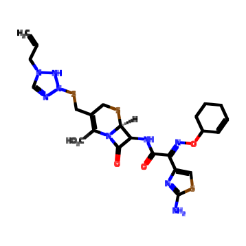 C=CCN1C=NN(SCC2=C(C(=O)O)N3C(=O)C(NC(=O)C(=NOC4C=CCCC4)c4csc(N)n4)[C@@H]3SC2)N1